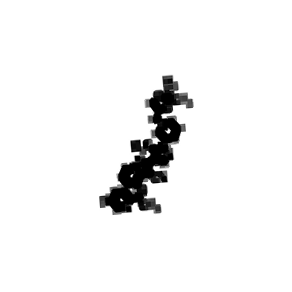 Cc1c(-c2nn3cccc(O[C@H](C)c4ccc(F)cn4)c3c2C#N)cnn1[C@H]1CCCN(C[C@H]2COC(C)(C)O2)C1